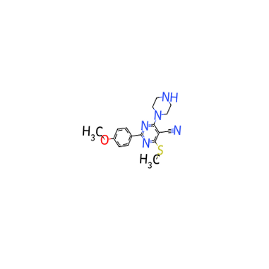 COc1ccc(-c2nc(SC)c(C#N)c(N3CCNCC3)n2)cc1